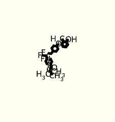 Cc1c(O)cccc1OC1CCC(CC[C@@H](N2CCN(C(=O)OC(C)(C)C)CC2)C(F)(F)F)CC1